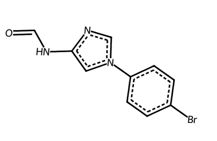 O=CNc1cn(-c2ccc(Br)cc2)cn1